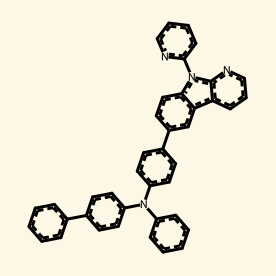 c1ccc(-c2ccc(N(c3ccccc3)c3ccc(-c4ccc5c(c4)c4cccnc4n5-c4ccccn4)cc3)cc2)cc1